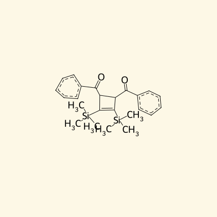 C[Si](C)(C)C1=C([Si](C)(C)C)C(C(=O)c2ccccc2)C1C(=O)c1ccccc1